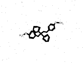 COc1ccc(CCC(Cc2ccc(OC)cc2)(c2ccccc2)c2ccccc2)cc1